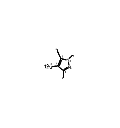 Cc1nn(C)c(I)c1C(C)(C)C